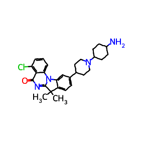 CC1(C)c2ccc(C3CCN(C4CCC(N)CC4)CC3)cc2-n2c1nc(=O)c1c(Cl)cccc12